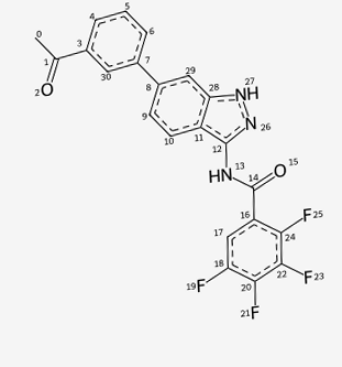 CC(=O)c1cccc(-c2ccc3c(NC(=O)c4cc(F)c(F)c(F)c4F)n[nH]c3c2)c1